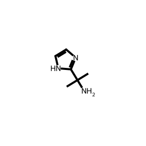 CC(C)(N)c1ncc[nH]1